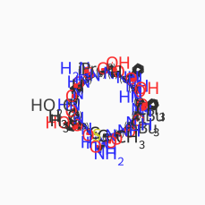 CCCC[C@H]1C(=O)N(C)[C@@H](CCCC)C(=O)N[C@@H](C)C(=O)N[C@H](C(=O)NCC(N)=O)CSCC(=O)N[C@@H](Cc2ccc(O)cc2)C(=O)N(C)[C@@H](C)C(=O)N[C@@H](CC(=O)O)C(=O)N2CCC[C@H]2C(=O)N[C@@H](CCN)C(=O)N[C@@H](CC(C)C)C(=O)N2C[C@H](O)C[C@H]2C(=O)N[C@@H](Cc2c[nH]c3ccccc23)C(=O)N[C@@H](CO)C(=O)N[C@@H](Cc2c[nH]c3ccccc23)C(=O)N1C